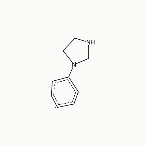 [c]1ccc(N2CCNC2)cc1